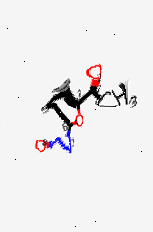 CC(=O)c1ccc(N=O)o1